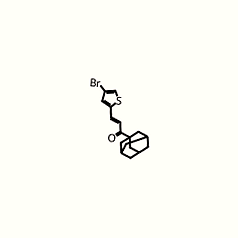 O=C(C=Cc1cc(Br)cs1)C12CC3CC(CC(C3)C1)C2